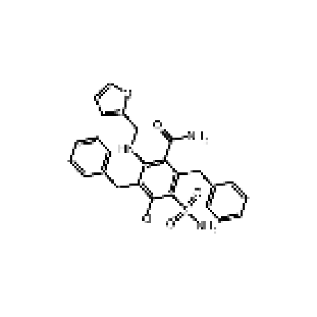 NC(=O)c1c(Cc2ccccc2)c(S(N)(=O)=O)c(Cl)c(Cc2ccccc2)c1NCc1ccco1